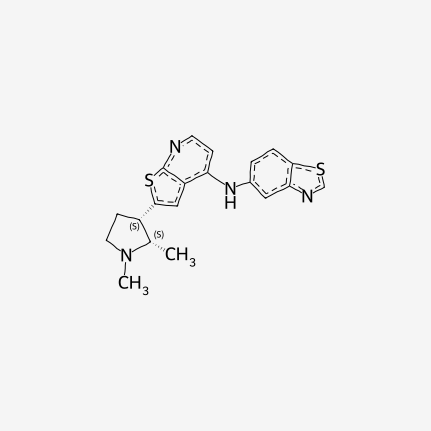 C[C@H]1[C@@H](c2cc3c(Nc4ccc5scnc5c4)ccnc3s2)CCN1C